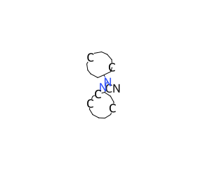 N#CC1(N=NC2CCCCCCCCCCC2)CCCCCCCCCCC1